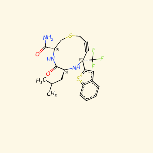 CC(C)C[C@@H]1N[C@@](c2cc3ccccc3s2)(C(F)(F)F)C#CCSC[C@@H](C(N)=O)NC1=O